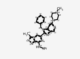 Cc1nnc2c(NC(C)C)nc(-c3nc4cnc(N5CCN(C)CC5)cc4n3Cc3ccccc3)cn12